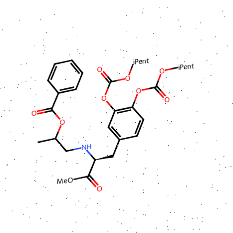 CCCC(C)OC(=O)Oc1ccc(C[C@H](NCC(C)OC(=O)c2ccccc2)C(=O)OC)cc1OC(=O)OC(C)CCC